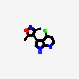 Cc1noc(C)c1-c1c[nH]c2nccc(Cl)c12